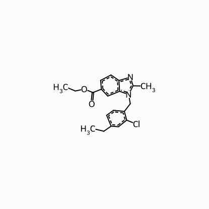 CCOC(=O)c1ccc2nc(C)n(Cc3ccc(CC)cc3Cl)c2c1